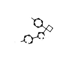 Cc1ccc(-c2cc(C3(c4ccc(Br)cc4)CCC3)[nH]n2)cn1